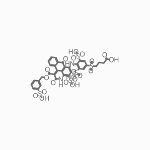 O=C(O)CCCS(=O)(=O)c1cc(S(=O)(=O)O)c(Nc2cc(S(=O)(=O)O)c3[nH]c(=O)c(C(=O)OCc4cccc(S(=O)(=O)O)c4)c4c3c2C(=O)c2ccccc2-4)c(S(=O)(=O)O)c1